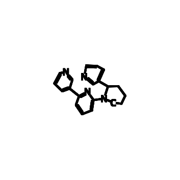 c1cncc(-c2cccc(N3CCCCC3c3cccnc3)n2)c1